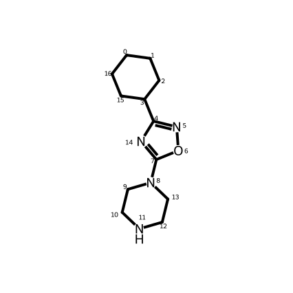 C1CCC(c2noc(N3CCNCC3)n2)CC1